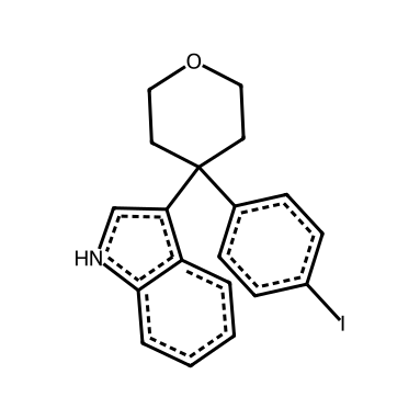 Ic1ccc(C2(c3c[nH]c4ccccc34)CCOCC2)cc1